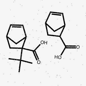 CC(C)(C)C1(C(=O)O)CC2C=CC1C2.O=C(O)C1CC2C=CC1C2